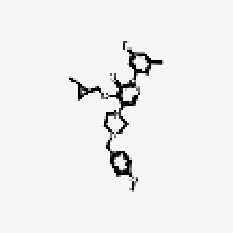 COc1ccc(CN2CCN(c3cnn(-c4cc(C)cc(F)c4)c(=O)c3OCC3CC3C)CC2)cc1